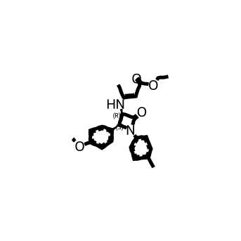 CCOC(=O)C=C(C)N[C@H]1C(=O)N(c2ccc(C)cc2)[C@H]1c1ccc(OC)cc1